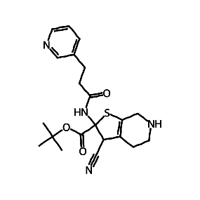 CC(C)(C)OC(=O)C1(NC(=O)CCc2cccnc2)SC2=C(CCNC2)C1C#N